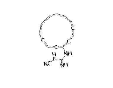 N#CNC(=N)Nc1ccccccccccccc1